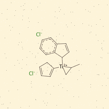 C[CH]1[CH2][Ti+2]1([C]1=CC=CC1)[CH]1C=Cc2ccccc21.[Cl-].[Cl-]